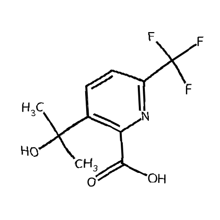 CC(C)(O)c1ccc(C(F)(F)F)nc1C(=O)O